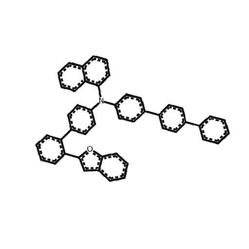 c1ccc(-c2ccc(-c3ccc(N(c4ccc(-c5ccccc5-c5cc6ccccc6o5)cc4)c4cccc5ccccc45)cc3)cc2)cc1